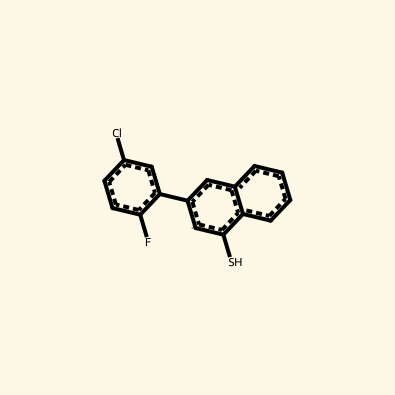 Fc1ccc(Cl)cc1-c1[c]c(S)c2ccccc2c1